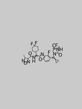 Cc1nonc1C(=O)N[C@H](c1nc2c(F)c([C@H](C3CC3)N3C[C@H](C(F)(F)F)NC3=O)ccc2o1)C1CCC(F)(F)CC1